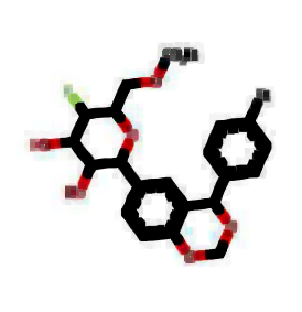 CCOC(=O)OCC1OC(c2ccc3c(c2)C(c2ccc(CC)cc2)OCO3)C(O)C(O)C1F